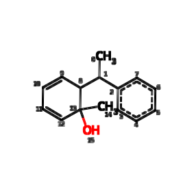 CC(c1ccccc1)C1C=CC=CC1(C)O